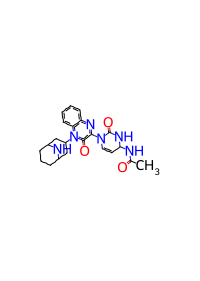 CC(=O)NC1C=CN(c2nc3ccccc3n(C3CC4CCCC(C3)N4)c2=O)C(=O)N1